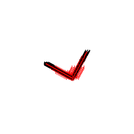 O=[Si](O)O.O=[Si](O)O.O=[Si](O)O.O=[Si](O)O.O=[Si](O)O.O=[Si](O)O.O=[Si](O)O.O=[Si](O)O.O=[Si](O)O.O=[Si](O)O.O=[Si](O)O.O=[Si](O)O.O=[Si](O)O.O=[Si](O)O.O=[Si](O)O.O=[Si](O)O.O=[Si]([O-])[O-].O=[Si]([O-])[O-].O=[Si]([O-])[O-].O=[Si]([O-])[O-].O=[Si]([O-])[O-].O=[Si]([O-])[O-].O=[Si]([O-])[O-].O=[Si]([O-])[O-].O=[Si]([O-])[O-].O=[Si]([O-])[O-].O=[Si]([O-])[O-].O=[Si]([O-])[O-].O=[Si]([O-])[O-].O=[Si]([O-])[O-].[K+].[K+].[K+].[K+].[K+].[K+].[K+].[K+].[K+].[K+].[K+].[K+].[K+].[K+].[K+].[K+].[K+].[K+].[K+].[K+].[K+].[K+].[K+].[K+].[K+].[K+].[K+].[K+]